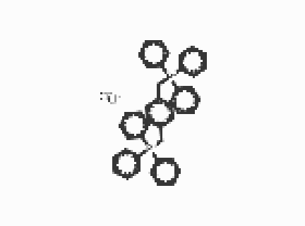 [Cl-].[Cl-].c1ccc([P+](Cc2ccc(C[P+](c3ccccc3)(c3ccccc3)c3ccccc3)cc2)(c2ccccc2)c2ccccc2)cc1